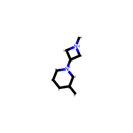 CC1CCCN(C2CN(C)C2)C1